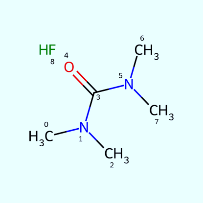 CN(C)C(=O)N(C)C.F